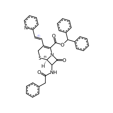 O=C(Cc1ccccc1)NC1C(=O)N2C(C(=O)OC(c3ccccc3)c3ccccc3)=C(/C=C/c3ccccn3)CS[C@H]12